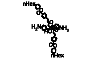 CCCCCCC1CCC(OC(=O)c2ccc(/C=C/C(=O)CC(Cc3ccc(N)cc3)(Cc3ccc(N)cc3)C(O)(O)C(=O)/C=C/c3ccc(C(=O)OC4CCC(CCCCCC)CC4)cc3)cc2)CC1